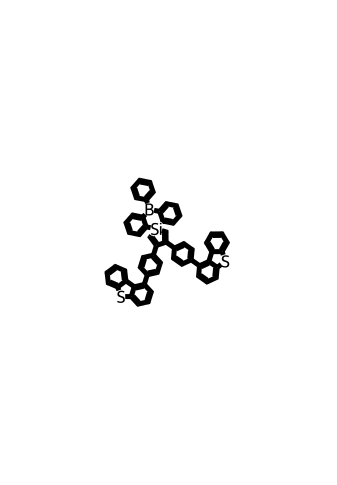 C1=C(c2ccc(-c3cccc4sc5ccccc5c34)cc2)C(c2ccc(-c3cccc4sc5ccccc5c34)cc2)=C[Si]12c1ccccc1B(c1ccccc1)c1ccccc12